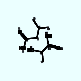 CC(C)CC(=O)O.CC(O)C(=O)O